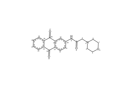 O=C(CN1CCOCC1)Nc1ccc2c(c1)C(=O)c1ccccc1C2=O